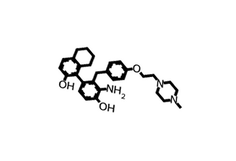 CN1CCN(CCOc2ccc(Cc3c(-c4c(O)ccc5c4CCCC5)ccc(O)c3N)cc2)CC1